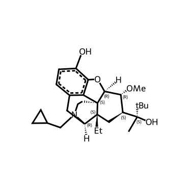 CC[C@]12C[C@H]([C@](C)(O)C(C)(C)C)[C@@H](OC)[C@@H]3Oc4c(O)ccc5c4[C@@]31CCN(CC1CC1)[C@@H]2C5